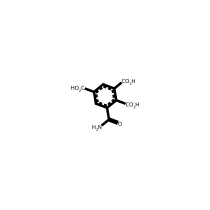 NC(=O)c1cc(C(=O)O)cc(C(=O)O)c1C(=O)O